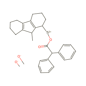 CC1C2=C(CCCC2)C2=C1[CH]([Ti+2][O]C(=O)C(c1ccccc1)c1ccccc1)CCC2.C[O-].C[O-]